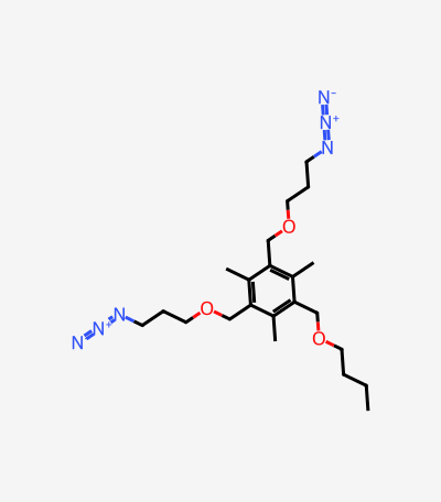 CCCCOCc1c(C)c(COCCCN=[N+]=[N-])c(C)c(COCCCN=[N+]=[N-])c1C